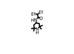 CCC(CC)C(=O)NC1CC(C)(C)NC(C)(C)C1